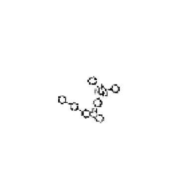 c1ccc(-c2ccc(-c3ccc4c5ccccc5n(-c5ccc(-c6nc(-c7ccccc7)nc(-c7ccccc7)n6)cc5)c4c3)cc2)cc1